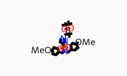 COc1ccc(CN(Cc2ccc(OC)cc2)S(=O)(=O)c2ccn(CC(C)(C)B3OC(C)(C)C(C)(C)O3)n2)cc1